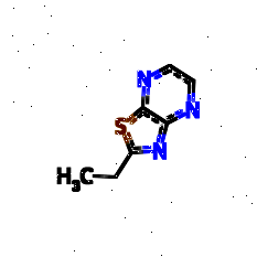 CCc1nc2nccnc2s1